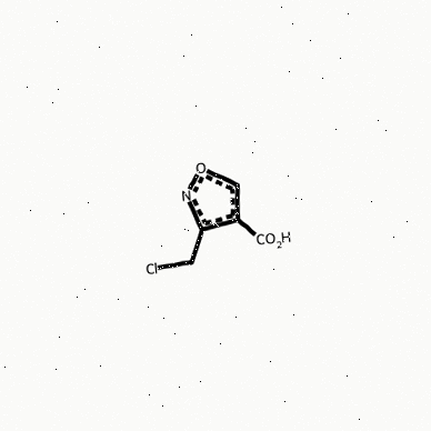 O=C(O)c1conc1CCl